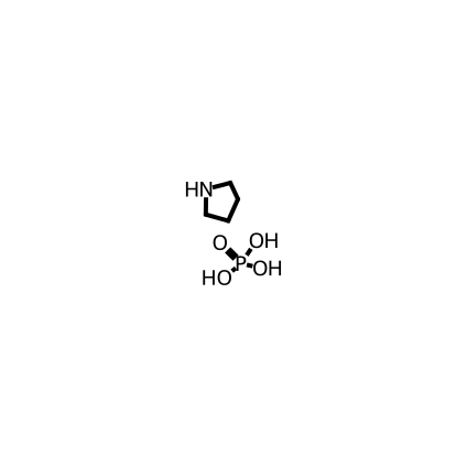 C1CCNC1.O=P(O)(O)O